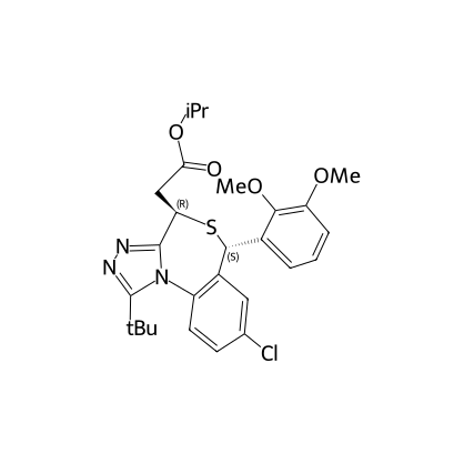 COc1cccc([C@H]2S[C@H](CC(=O)OC(C)C)c3nnc(C(C)(C)C)n3-c3ccc(Cl)cc32)c1OC